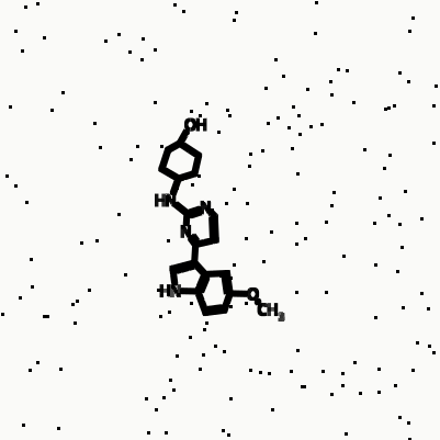 COc1ccc2[nH]cc(-c3ccnc(NC4CCC(O)CC4)n3)c2c1